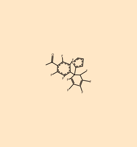 CC(=O)c1c(F)c(F)c(C2(c3cccs3)C(F)=C(F)C(F)=C(F)C2F)c(F)c1F